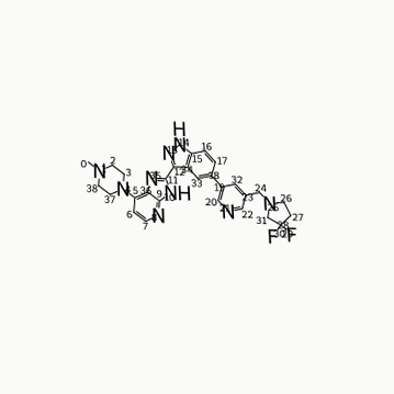 CN1CCN(c2ccnc3[nH]c(-c4n[nH]c5ccc(-c6cncc(CN7CCC(F)(F)C7)c6)cc45)nc23)CC1